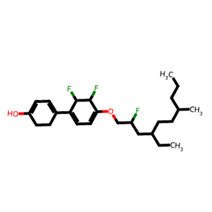 CCCC(C)CCC(CC)CC(F)COC1=CC=C(C2=CC=C(O)CC2)C(F)C1F